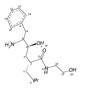 CC(C)C[C@H](C[C@H](O)C(N)Cc1ccccc1)C(=O)NCCO